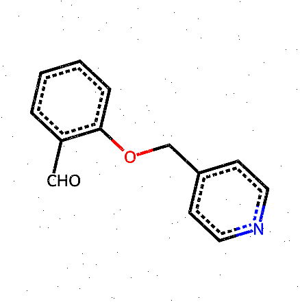 O=Cc1ccccc1OCc1ccncc1